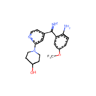 N=C(c1ccnc(N2CCC(O)CC2)c1)c1cc(OC(F)(F)F)ccc1N